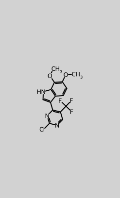 COc1ccc2c(-c3nc(Cl)ncc3C(F)(F)F)c[nH]c2c1OC